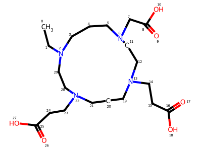 CCN1CCCN(CC(=O)O)CCN(CCC(=O)O)CCCN(CCC(=O)O)CC1